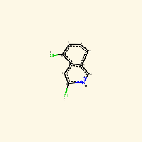 Clc1cc2c(Cl)cccc2cn1